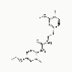 CCOc1ccc(NC(=O)NCCc2ccc(C)c(OC)c2)c(C)c1